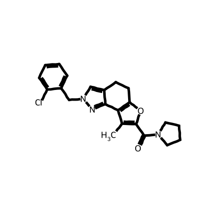 Cc1c(C(=O)N2CCCC2)oc2c1-c1nn(Cc3ccccc3Cl)cc1CC2